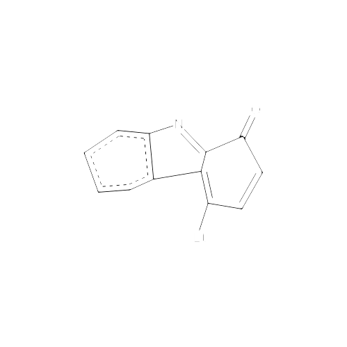 CCC1=C2C(=Nc3ccccc32)C(=O)C=C1